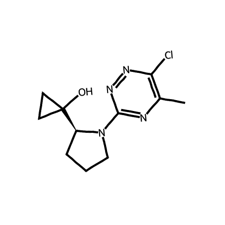 Cc1nc(N2CCC[C@H]2C2(O)CC2)nnc1Cl